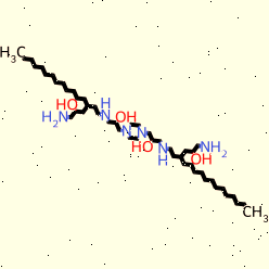 CCCCCCCCCCCCCC(CCNCC(O)CN1CCN(CC(O)CNCCC(CCCCCCCCCCCCC)CC(O)CN)CC1)CC(O)CN